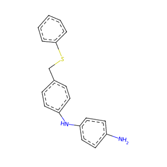 Nc1ccc(Nc2ccc(CSc3ccccc3)cc2)cc1